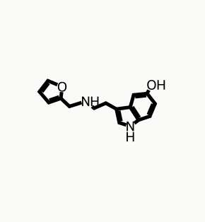 Oc1ccc2[nH]cc(CCNCc3ccco3)c2c1